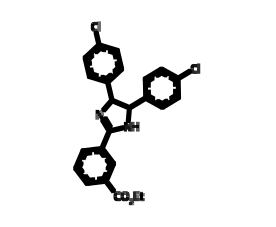 CCOC(=O)c1cccc(C2=NC(c3ccc(Cl)cc3)C(c3ccc(Cl)cc3)N2)c1